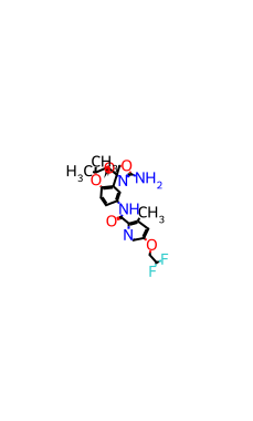 Cc1cc(OCC(F)F)cnc1C(=O)Nc1ccc2c(c1)C1(COC(N)=N1)C1(COC1)C(C)(C)O2